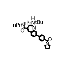 CCCN(CCC)C(=O)C1=Cc2ccc(-c3ccc(C(=O)N4CCCC4)cc3)cc2N=C(NC(C)(C)C)C1